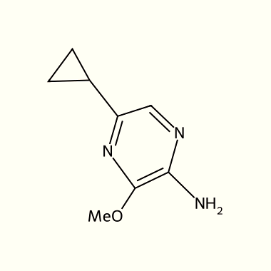 COc1nc(C2CC2)cnc1N